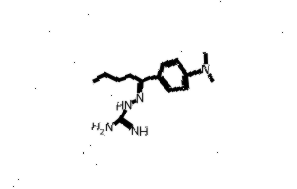 CCCCC(=NNC(=N)N)c1ccc(N(C)C)cc1